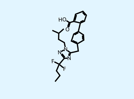 CCCC(F)(F)c1nc(Cc2ccc(-c3ccccc3C(=O)O)cc2)n(CCC(C)C)n1